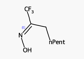 CCCCCC/C(=N\O)C(F)(F)F